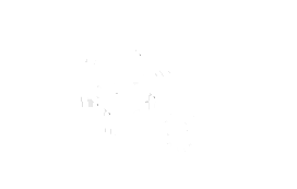 Cc1ccc(F)c(C(C)[C@H](NS(=O)(=O)N2CCCC2)c2n[nH]c(=O)o2)c1C